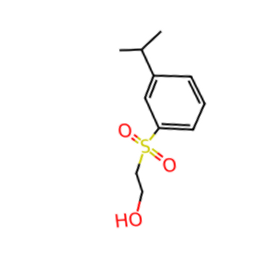 CC(C)c1cccc(S(=O)(=O)CCO)c1